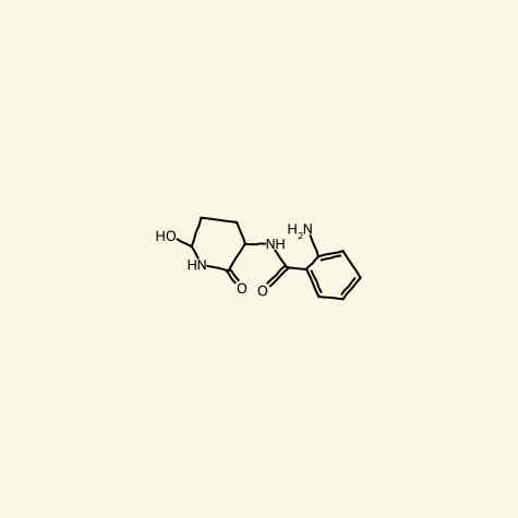 Nc1ccccc1C(=O)NC1CCC(O)NC1=O